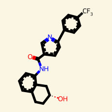 O=C(Nc1cccc2c1C[C@H](O)CC2)c1ccc(-c2ccc(C(F)(F)F)cc2)nc1